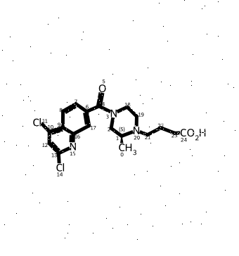 C[C@H]1CN(C(=O)c2ccc3c(Cl)cc(Cl)nc3c2)CCN1CCCC(=O)O